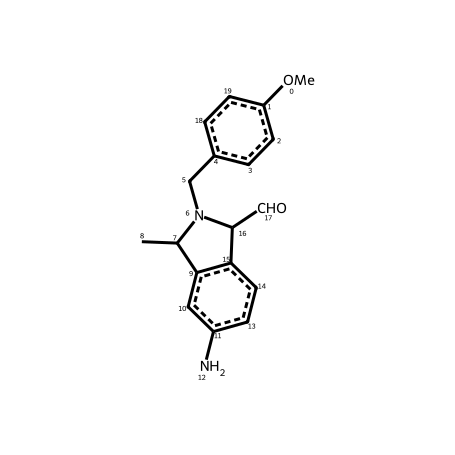 COc1ccc(CN2C(C)c3cc(N)ccc3C2C=O)cc1